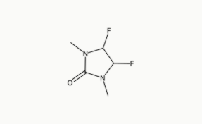 CN1C(=O)N(C)C(F)C1F